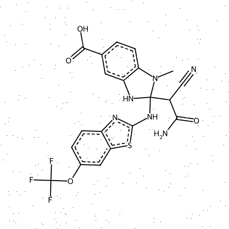 CN1c2ccc(C(=O)O)cc2NC1(Nc1nc2ccc(OC(F)(F)F)cc2s1)C(C#N)C(N)=O